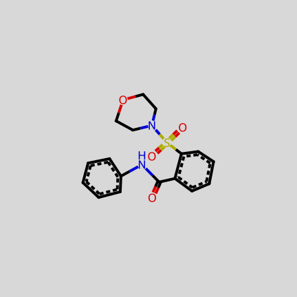 O=C(Nc1ccccc1)c1ccccc1S(=O)(=O)N1CCOCC1